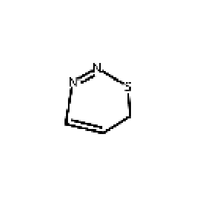 C1=CN=NSC1